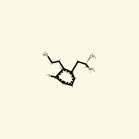 C[C@H](N)Cc1cccc(F)c1CCO